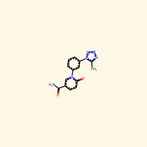 Cc1nnnn1-c1cccc(-n2cc(C(N)=O)ccc2=O)c1